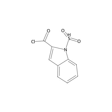 O=C(Cl)c1cc2ccccc2n1[SH](=O)=O